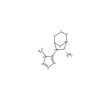 C[C@H]1N2CCCC(C2)N1c1cccn1C